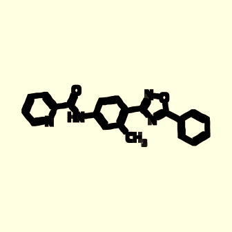 Cc1cc(NC(=O)c2ccccn2)ccc1-c1noc(-c2ccccc2)n1